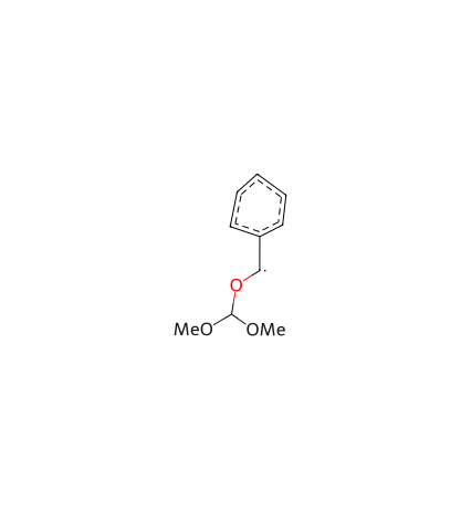 COC(OC)O[CH]c1ccccc1